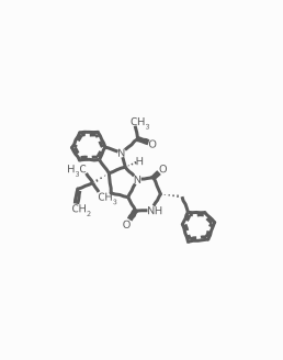 C=CC(C)(C)[C@@]12CC3C(=O)N[C@@H](Cc4ccccc4)C(=O)N3[C@@H]1N(C(C)=O)c1ccccc12